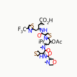 CC(=O)O[C@H](C[C@H](C(C)C)N(C)C(=O)[C@@H](NC(=O)[C@H]1COCCN1C)C1CSC1)c1nc(C(=O)N[C@@H](Cc2nc(C(F)(F)F)cs2)C[C@H](C)C(=O)O)cs1